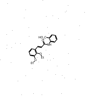 CCOc1cccc(/C=C/C(=O)Nc2ccccc2C(=O)O)c1OCC